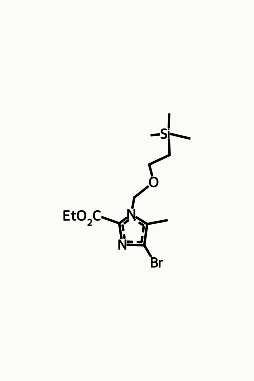 CCOC(=O)c1nc(Br)c(C)n1COCC[Si](C)(C)C